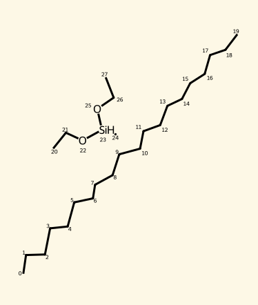 CCCCCCCCCCCCCCCCCCCC.CCO[SiH](C)OCC